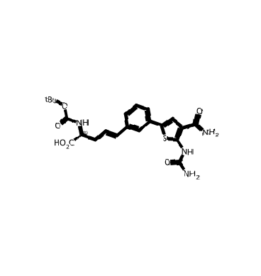 CC(C)(C)OC(=O)N[C@@H](CC=Cc1cccc(-c2cc(C(N)=O)c(NC(N)=O)s2)c1)C(=O)O